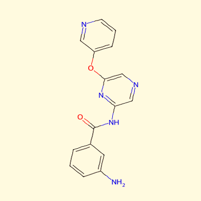 Nc1cccc(C(=O)Nc2cncc(Oc3cccnc3)n2)c1